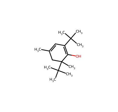 CC1=CC(C(C)(C)C)=C(O)C(C)(C(C)(C)C)C1